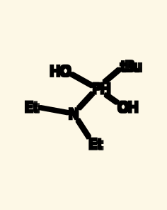 CCN(CC)[PH](O)(O)C(C)(C)C